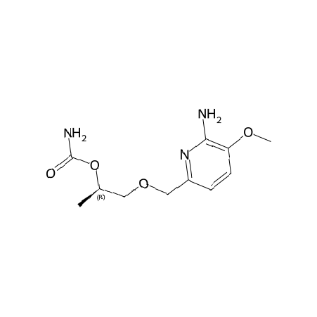 COc1ccc(COC[C@@H](C)OC(N)=O)nc1N